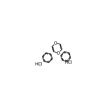 C1=COC=CO1.Cl.Cl.c1ccccc1.c1ccccc1